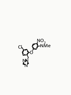 CNc1cc(Oc2cc(Cl)ccc2Cn2cncn2)ccc1[N+](=O)[O-]